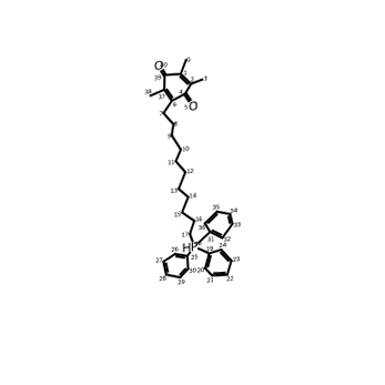 CC1=C(C)C(=O)C(CCCCCCCCCCC[PH](c2ccccc2)(c2ccccc2)c2ccccc2)=C(C)C1=O